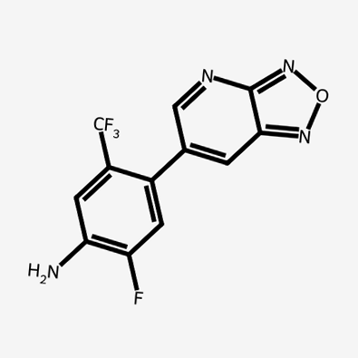 Nc1cc(C(F)(F)F)c(-c2cnc3nonc3c2)cc1F